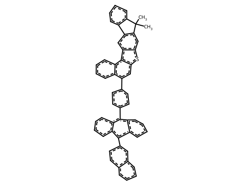 CC1(C)c2ccccc2-c2cc3c(cc21)sc1cc(-c2ccc(-c4c5ccccc5c(-c5ccc6ccccc6c5)c5ccccc45)cc2)c2ccccc2c13